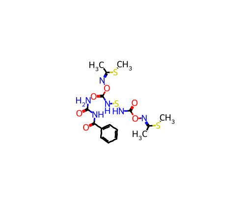 CSC(C)=NOC(=O)NSNC(=O)ON=C(C)SC.NC(=O)NC(=O)c1ccccc1